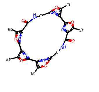 CCc1oc2nc1C(=O)NCc1nc(c(CC)o1)-c1nc(c(CC)o1)-c1nc(c(CC)o1)C(=O)NCc1nc-2c(CC)o1